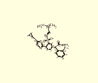 CN(C)C=NS(=O)(=O)c1cc(C(C(N)=O)c2ccccc2F)ccc1-c1nnc(C2CC2)o1